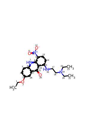 CCOc1ccc2[nH]c3c([N+](=O)[O-])ccc(NCCN(CC)CC)c3c(=O)c2c1